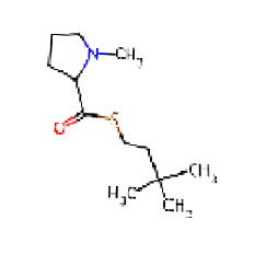 CN1CCCC1C(=O)SCCC(C)(C)C